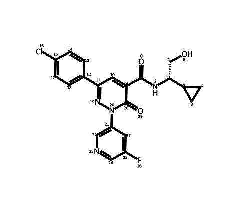 O=C(N[C@H](CO)C1CC1)c1cc(-c2ccc(Cl)cc2)nn(-c2cncc(F)c2)c1=O